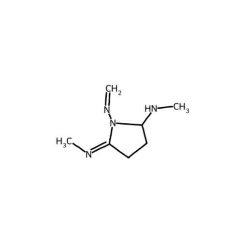 C=NN1/C(=N\C)CCC1NC